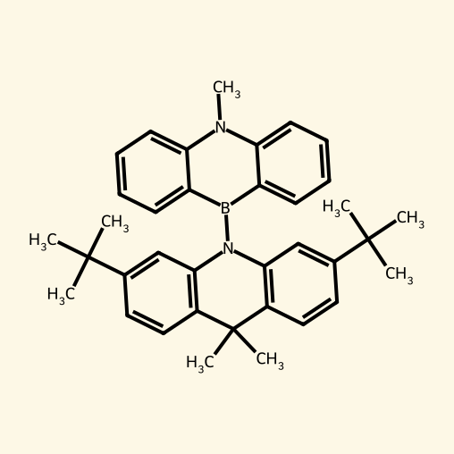 CN1c2ccccc2B(N2c3cc(C(C)(C)C)ccc3C(C)(C)c3ccc(C(C)(C)C)cc32)c2ccccc21